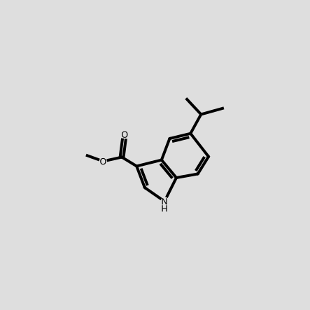 COC(=O)c1c[nH]c2ccc(C(C)C)cc12